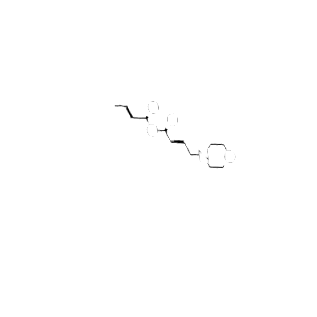 CC=CC(=O)OC(=O)/C=C/CN1CCOCC1